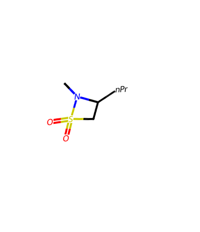 CCCC1CS(=O)(=O)N1C